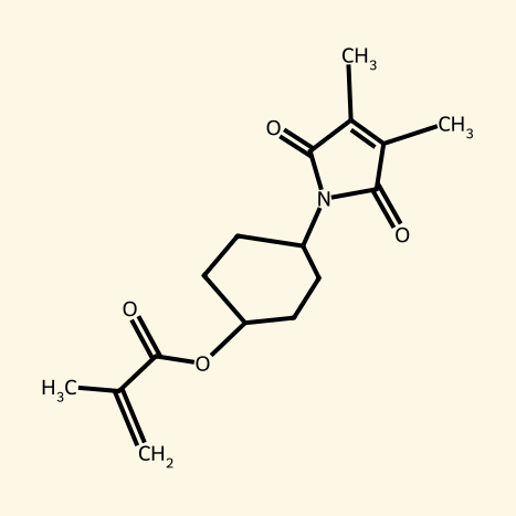 C=C(C)C(=O)OC1CCC(N2C(=O)C(C)=C(C)C2=O)CC1